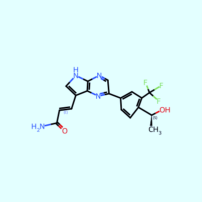 C[C@H](O)c1ccc(-c2cnc3[nH]cc(/C=C/C(N)=O)c3n2)cc1C(F)(F)F